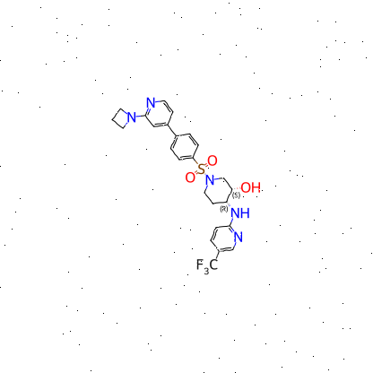 O=S(=O)(c1ccc(-c2ccnc(N3CCC3)c2)cc1)N1CC[C@@H](Nc2ccc(C(F)(F)F)cn2)[C@@H](O)C1